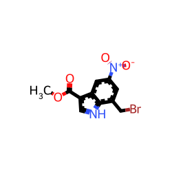 COC(=O)c1c[nH]c2c(CBr)cc([N+](=O)[O-])cc12